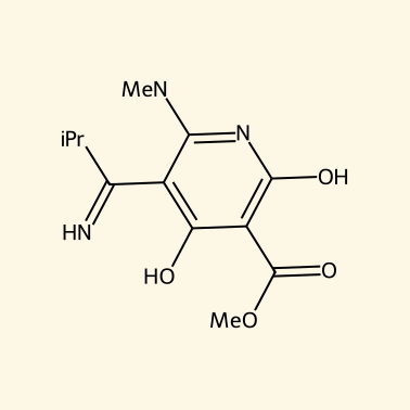 CNc1nc(O)c(C(=O)OC)c(O)c1C(=N)C(C)C